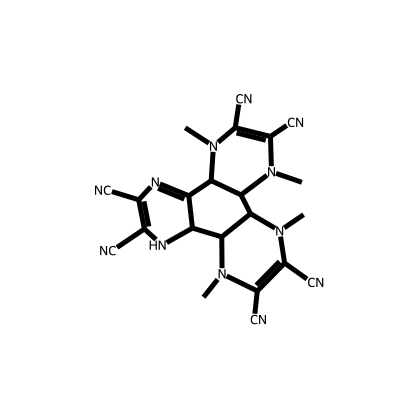 CN1C(C#N)=C(C#N)N(C)C2C1C1=NC(C#N)=C(C#N)NC1C1C2N(C)C(C#N)=C(C#N)N1C